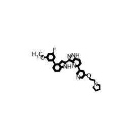 COc1cc(F)cc(-c2cccc3[nH]c(-c4n[nH]c5ccc(-c6cncc(OCCN7CCCC7)c6)nc45)cc23)c1